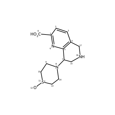 O=C(O)c1ccc2c(n1)C(N1CC[S+]([O-])CC1)CNC2